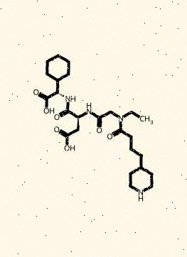 CCN(CC(=O)N[C@@H](CC(=O)O)C(=O)N[C@H](C(=O)O)C1CCCCC1)C(=O)CCCC1CCNCC1